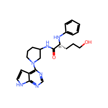 O=C(NC1CCCN(c2ncnc3[nH]ccc23)C1)[C@@H](CCCO)Nc1ccccc1